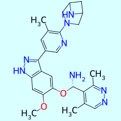 COc1cc2[nH]nc(-c3cnc(N4CC5CC(C4)N5)c(C)c3)c2cc1O[C@H](N)c1c(C)cnnc1C